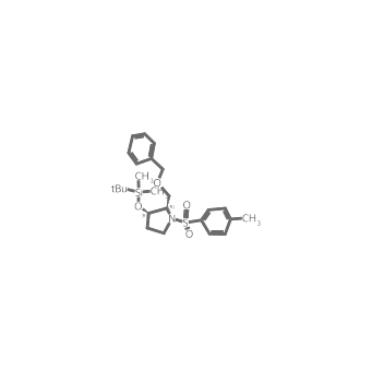 Cc1ccc(S(=O)(=O)N2CC[C@@H](O[Si](C)(C)C(C)(C)C)[C@H]2COCc2ccccc2)cc1